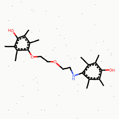 Cc1c(C)c(NCCOCCOc2c(C)c(C)c(O)c(C)c2C)c(C)c(C)c1O